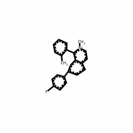 Cc1ccccc1-c1c2cc(-c3ccc(F)cc3)ccc2cc[n+]1C